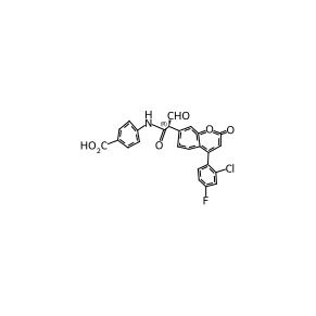 O=C[C@H](C(=O)Nc1ccc(C(=O)O)cc1)c1ccc2c(-c3ccc(F)cc3Cl)cc(=O)oc2c1